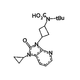 CC(C)(C)N(C(=O)O)C1CC(n2c(=O)n(C3CC3)c3cccnc32)C1